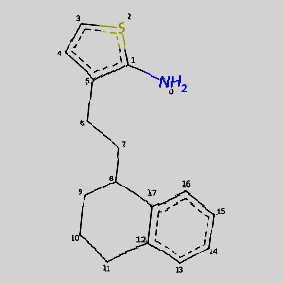 Nc1sccc1CCC1CCCc2ccccc21